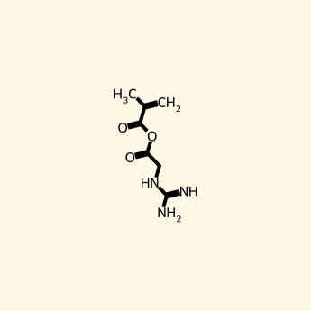 C=C(C)C(=O)OC(=O)CNC(=N)N